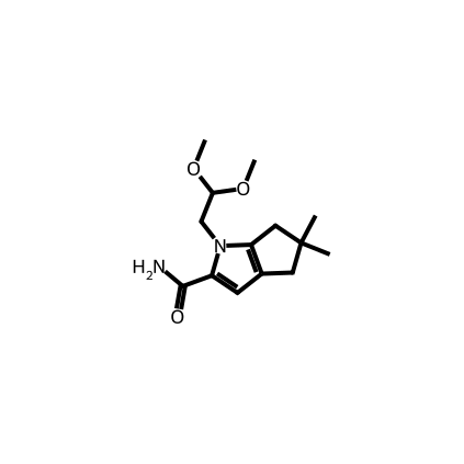 COC(Cn1c(C(N)=O)cc2c1CC(C)(C)C2)OC